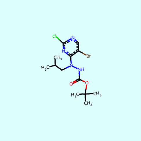 CC(C)CN(NC(=O)OC(C)(C)C)c1nc(Cl)ncc1Br